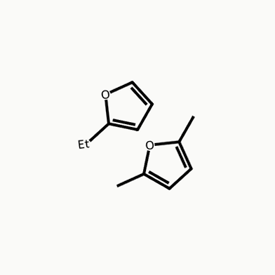 CCc1ccco1.Cc1ccc(C)o1